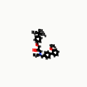 COc1ccccc1-c1ccc(CN(C)CC(O)COc2ccc(C(C)(C)C)cc2)cc1